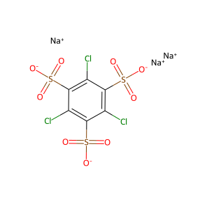 O=S(=O)([O-])c1c(Cl)c(S(=O)(=O)[O-])c(Cl)c(S(=O)(=O)[O-])c1Cl.[Na+].[Na+].[Na+]